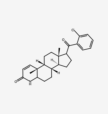 C[C@]12C=CC(=O)NC1CC[C@@H]1[C@H]2CC[C@]2(C)C(C(=O)c3ccccc3Cl)CC[C@@H]12